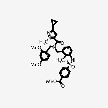 COC(=O)c1ccc(S(=O)(=O)Nc2cccc(CN(Cc3ccc(OC)cc3OC)C(=O)c3cc(C4CC4)nn3C)c2C)cc1